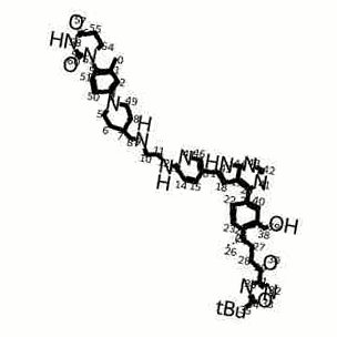 Cc1cc(N2CCC(CNCCNc3ccc(-c4cc5c(-c6ccc([C@@H](C)CCC(=O)c7noc(C(C)(C)C)n7)c(CO)c6)ncnc5[nH]4)cn3)CC2)ccc1N1CCC(=O)NC1=O